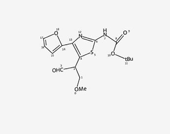 COCC(C=O)c1sc(NC(=O)OC(C)(C)C)nc1-c1ccco1